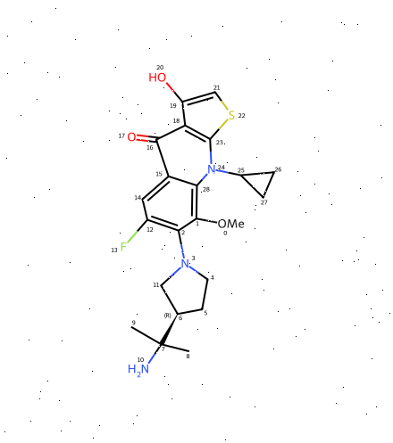 COc1c(N2CC[C@@H](C(C)(C)N)C2)c(F)cc2c(=O)c3c(O)csc3n(C3CC3)c12